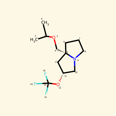 CC(C)OC[C@]12CCCN1C[C@H](OC(F)(F)F)C2